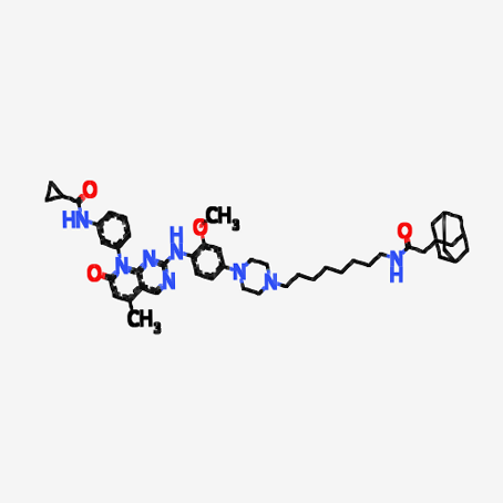 COc1cc(N2CCN(CCCCCCCCNC(=O)CC34CC5CC(CC(C5)C3)C4)CC2)ccc1Nc1ncc2c(C)cc(=O)n(-c3cccc(NC(=O)C4CC4)c3)c2n1